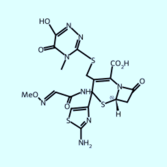 CON=CC(=O)NC1(c2csc(N)n2)S[C@H]2CC(=O)N2C(C(=O)O)=C1CSc1nnc(O)c(=O)n1C